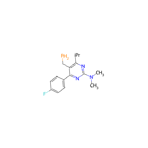 CC(C)c1nc(N(C)C)nc(-c2ccc(F)cc2)c1CP